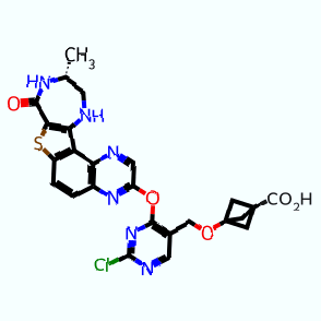 C[C@@H]1CNc2c(sc3ccc4nc(Oc5nc(Cl)ncc5COC56CC(C(=O)O)(C5)C6)cnc4c23)C(=O)N1